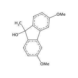 COc1ccc2c(c1)-c1cc(OC)ccc1C2(C)O